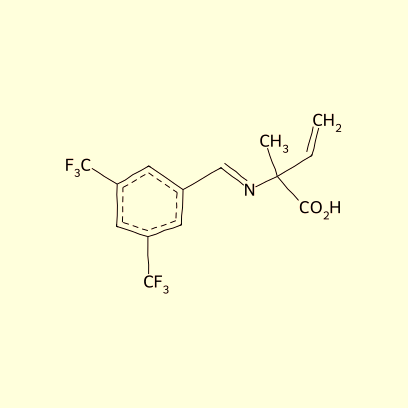 C=CC(C)(N=Cc1cc(C(F)(F)F)cc(C(F)(F)F)c1)C(=O)O